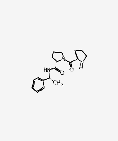 C[C@@H](NC(=O)[C@@H]1CCCN1C(=O)[C@H]1CCCN1)c1ccccc1